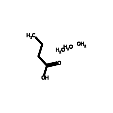 CCCC(=O)O.O.O.O